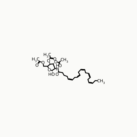 CC/C=C\C/C=C\C/C=C\C/C=C\C/C=C\CCCC(=O)NC1[C@H](O)OC(COC(C)=O)[C@@H](OC(C)=O)[C@@H]1OC(C)=O